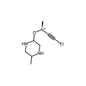 CCC#C[C@H](C)OC1CNC(C)CN1